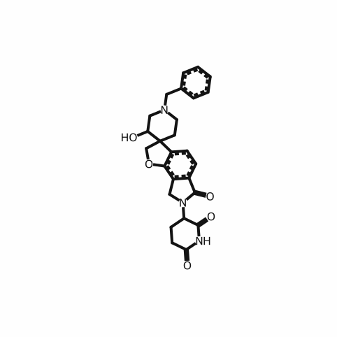 O=C1CCC(N2Cc3c(ccc4c3OCC43CCN(Cc4ccccc4)CC3O)C2=O)C(=O)N1